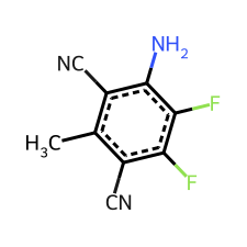 Cc1c(C#N)c(N)c(F)c(F)c1C#N